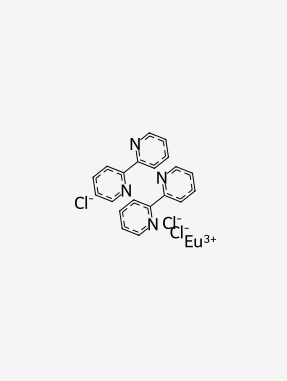 [Cl-].[Cl-].[Cl-].[Eu+3].c1ccc(-c2ccccn2)nc1.c1ccc(-c2ccccn2)nc1